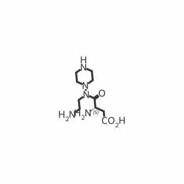 NCCN(C(=O)[C@@H](N)CC(=O)O)N1CCNCC1